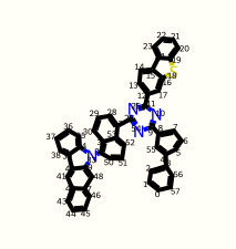 c1ccc(-c2cccc(-c3nc(-c4ccc5c(c4)sc4ccccc45)nc(-c4cccc5c(-n6c7ccccc7c7cc8ccccc8cc76)cccc45)n3)c2)cc1